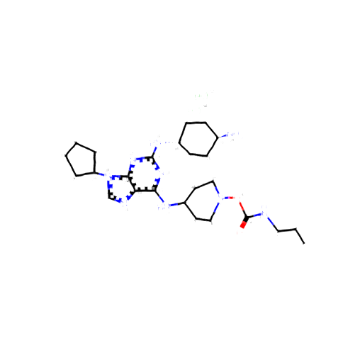 CCCNC(=O)ON1CCC(Nc2nc(N[C@H]3CC[C@H](N)CC3)nc3c2ncn3C2CCCC2)CC1.Cl.Cl